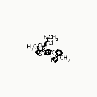 CC(C)c1ccsc1B(CC=CC(Cl)C(C)F)c1ccccc1.Cc1cccc(C)c1-n1ccnc1